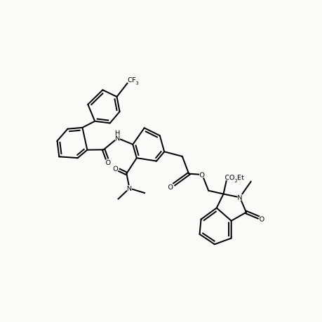 CCOC(=O)C1(COC(=O)Cc2ccc(NC(=O)c3ccccc3-c3ccc(C(F)(F)F)cc3)c(C(=O)N(C)C)c2)c2ccccc2C(=O)N1C